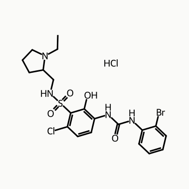 CCN1CCCC1CNS(=O)(=O)c1c(Cl)ccc(NC(=O)Nc2ccccc2Br)c1O.Cl